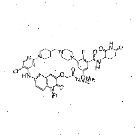 CNC(=O)COc1cc2cc(Nc3nc(N4CCC(CN5CCN(c6cc(OC)cc(C(=O)NC7CCC(=O)NC7=O)c6F)CC5)CC4)ncc3Cl)ccc2n(C(C)C)c1=O